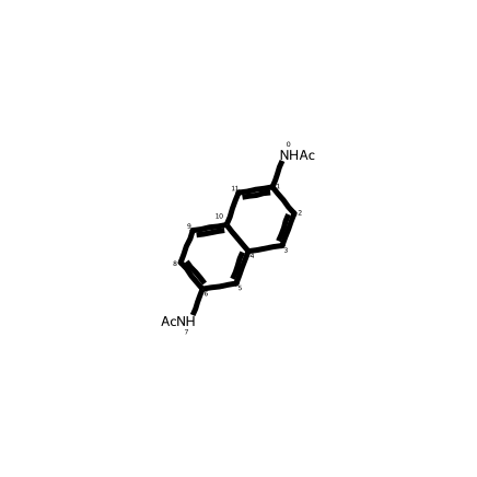 CC(=O)Nc1ccc2cc(NC(C)=O)ccc2c1